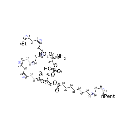 CC/C=C\C/C=C\C/C=C\C/C=C\C/C=C\C/C=C\CCC(=O)O[C@H](COC(=O)CCCCCCC/C=C\C/C=C\CCCCC)COP(=O)(O)OC[C@H](N)C(=O)O